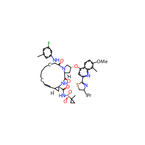 COc1ccc2c(O[C@@H]3C[C@H]4C(=O)N[C@]5(C(=O)NS(=O)(=O)C6(C)CC6)C[C@H]5/C=C\CCCCC[C@H](Nc5cc(C)cc(F)c5)C(=O)N4C3)cc(C3=NC(C(C)C)CS3)nc2c1C